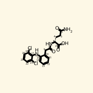 NC(=O)CC[C@@H](NC(=O)Cc1ccccc1Nc1c(Cl)cccc1Cl)C(=O)O